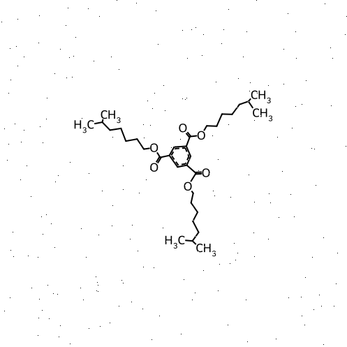 CC(C)CCCCCOC(=O)c1cc(C(=O)OCCCCCC(C)C)cc(C(=O)OCCCCCC(C)C)c1